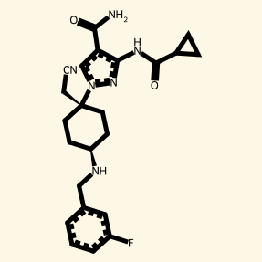 N#CC[C@]1(n2cc(C(N)=O)c(NC(=O)C3CC3)n2)CC[C@H](NCc2cccc(F)c2)CC1